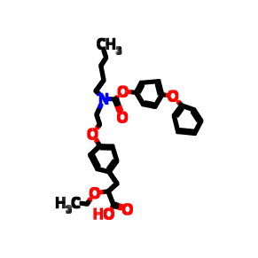 CCCCCN(CCOc1ccc(CC(OCC)C(=O)O)cc1)C(=O)Oc1ccc(Oc2ccccc2)cc1